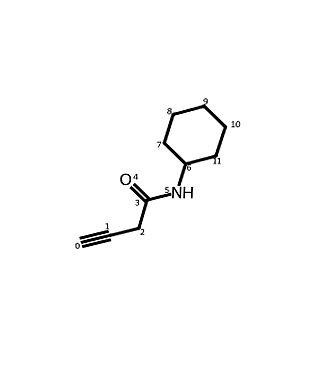 C#CCC(=O)NC1CCCCC1